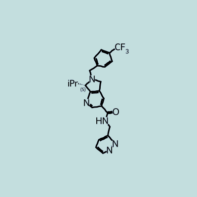 CC(C)[C@H]1c2ncc(C(=O)NCc3cccnn3)cc2CN1Cc1ccc(C(F)(F)F)cc1